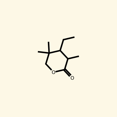 CCC1C(C)C(=O)OCC1(C)C